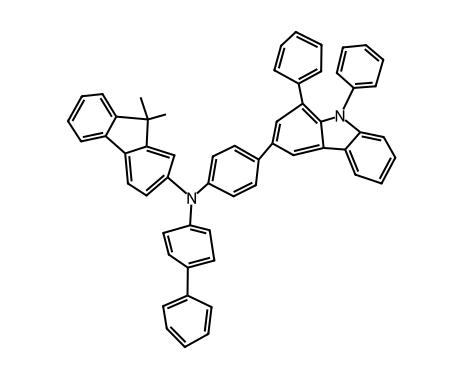 CC1(C)c2ccccc2-c2ccc(N(c3ccc(-c4ccccc4)cc3)c3ccc(-c4cc(-c5ccccc5)c5c(c4)c4ccccc4n5-c4ccccc4)cc3)cc21